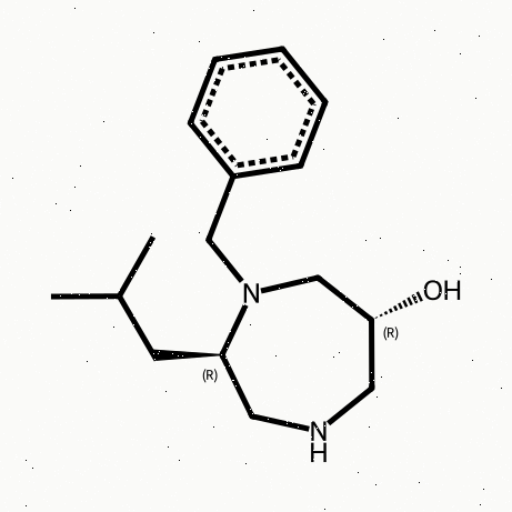 CC(C)C[C@@H]1CNC[C@@H](O)CN1Cc1ccccc1